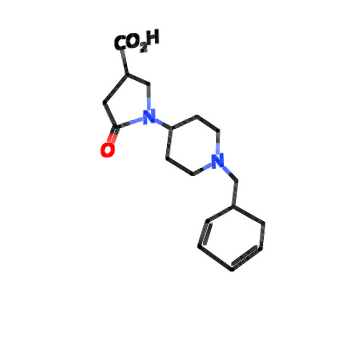 O=C(O)C1CC(=O)N(C2CCN(CC3C=CC=CC3)CC2)C1